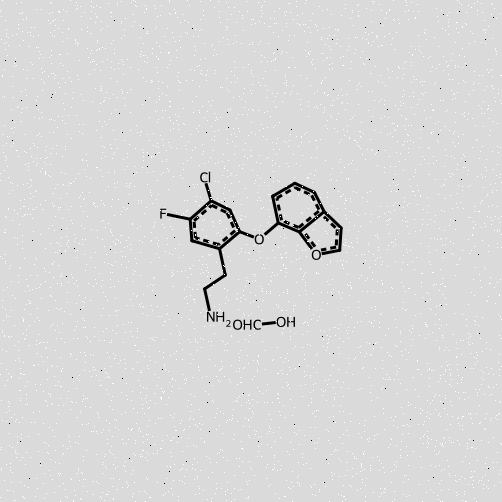 NCCc1cc(F)c(Cl)cc1Oc1cccc2ccoc12.O=CO